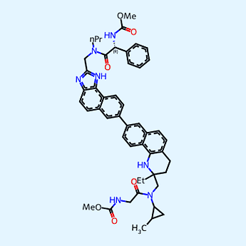 CCCN(Cc1nc2ccc3cc(-c4ccc5c6c(ccc5c4)CCC(CC)(CN(C(=O)CNC(=O)OC)C4CC4C)N6)ccc3c2[nH]1)C(=O)[C@H](NC(=O)OC)c1ccccc1